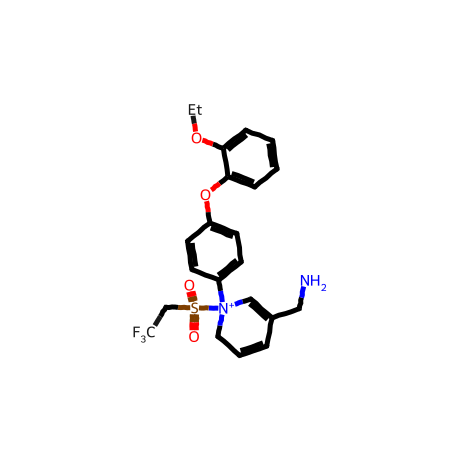 CCOc1ccccc1Oc1ccc([N+]2(S(=O)(=O)CC(F)(F)F)C=C(CN)C=CC2)cc1